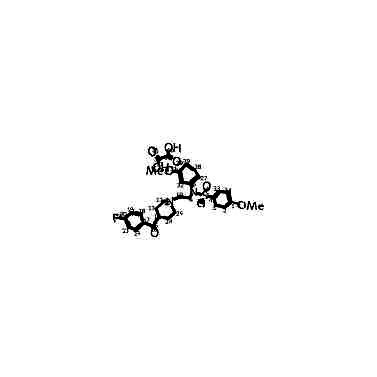 COc1ccc(S(=O)(=O)N(CCN2CCC(C(=O)c3ccc(F)cc3)CC2)c2cccc(OC)c2)cc1.O=C(O)C(=O)O